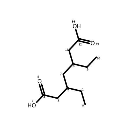 CCC(CC(=O)O)CC(CC)CC(=O)O